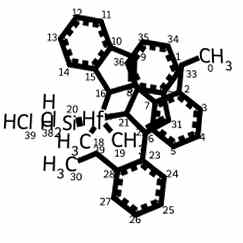 CCc1ccccc1C1=Cc2ccccc2[CH]1[Hf]([CH3])([CH3])(=[SiH2])[CH]1C(c2ccccc2CC)=Cc2ccccc21.Cl.Cl